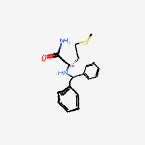 CSCC[C@H](NC(c1ccccc1)c1ccccc1)C(N)=O